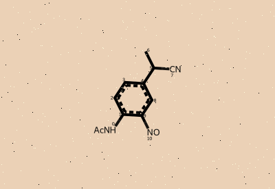 CC(=O)Nc1ccc(C(C)C#N)cc1N=O